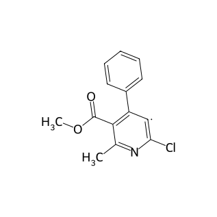 COC(=O)c1c(-c2ccccc2)[c]c(Cl)nc1C